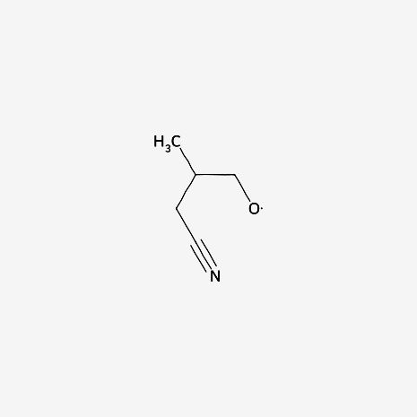 CC(C[O])CC#N